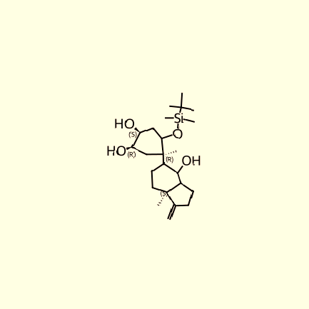 C=C1CCC2C(O)C([C@@]3(C)C[C@@H](O)[C@@H](O)CC3O[Si](C)(C)C(C)(C)C)CC[C@]12C